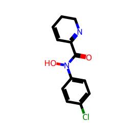 O=C(C1=NCCC=C1)N(O)c1ccc(Cl)cc1